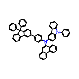 c1ccc(-n2c3ccccc3c3cc(N(c4ccc(-c5ccc6c(c5)-c5ccccc5C6(c5ccccc5)c5ccccc5)cc4)c4cc5ccccc5c5ccccc45)ccc32)cc1